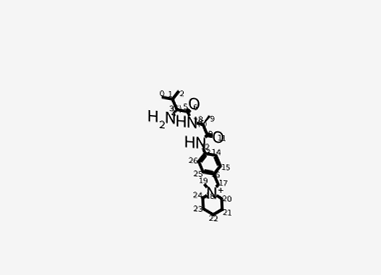 CC(C)[C@H](N)C(=O)N[C@@H](C)C(=O)Nc1ccc(C[N+]2(C)CCCCC2)cc1